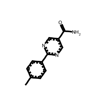 Cc1ccc(-c2ncc(C(N)=O)cn2)cc1